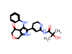 CC(C)(O)C(=O)NC1=NCCC(c2[nH]c3c(c2NC2=C=C=CC=C2)C(=O)COC3)=C1